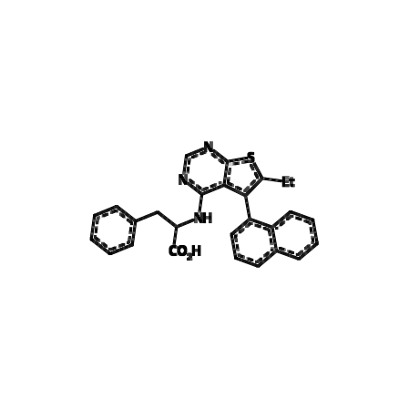 CCc1sc2ncnc(NC(Cc3ccccc3)C(=O)O)c2c1-c1cccc2ccccc12